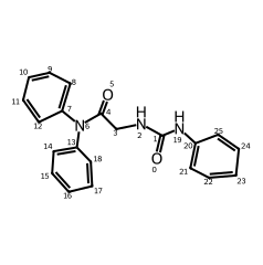 O=C(NCC(=O)N(c1ccccc1)c1ccccc1)Nc1ccccc1